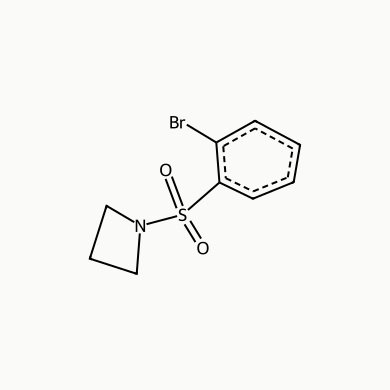 O=S(=O)(c1ccccc1Br)N1CCC1